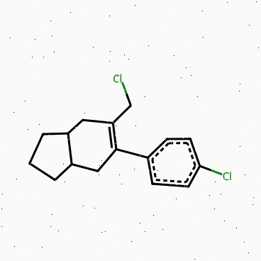 ClCC1=C(c2ccc(Cl)cc2)CC2CCCC2C1